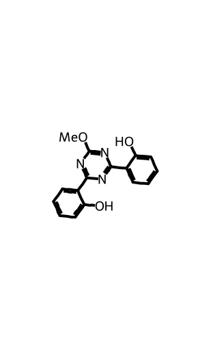 COc1nc(-c2ccccc2O)nc(-c2ccccc2O)n1